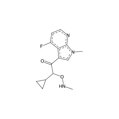 CNOC(C(=O)c1cn(C)c2nccc(F)c12)C1CC1